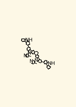 Cc1ccncc1-n1c2c(c3cc4c(cc31)-c1cc3c(cc1CC4)c1cc(-c4ccc5[nH]c6ccccc6c5c4)ccc1n3-c1cnccc1C)C=C(c1ccc3[nH]c4ccccc4c3c1)CC2